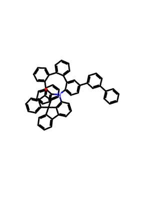 c1ccc(-c2cccc(-c3ccc4c(c3)c3ccccc3c3ccccc3c3ccccc3n4-c3cccc4c3C3(c5ccccc5-c5ccccc53)c3ccccc3-4)c2)cc1